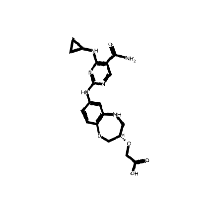 NC(=O)c1cnc(Nc2ccc3c(c2)NC[C@H](OCC(=O)O)CO3)nc1NC1CC1